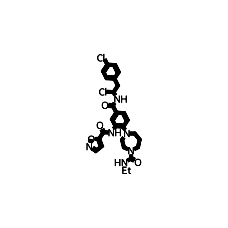 CCNC(=O)N1CCCN(c2ccc(C(=O)NC(Cl)Cc3ccc(Cl)cc3)cc2NC(=O)c2ccno2)CC1